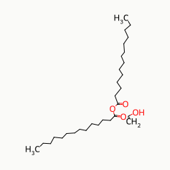 C=CO.CCCCCCCCCCCCCC(=O)OC(=O)CCCCCCCCCCCCC